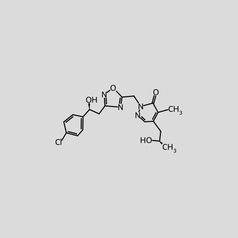 Cc1c(C[C@@H](C)O)cnn(Cc2nc(C[C@H](O)c3ccc(Cl)cc3)no2)c1=O